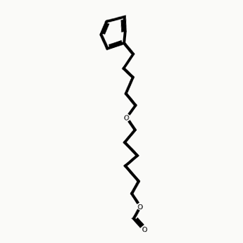 O=[C]OCCCCCCOCCCCCc1ccccc1